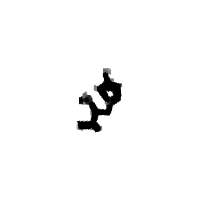 CC(C)C(O)Cn1ccc(I)c1